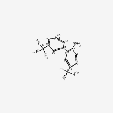 Nc1ccc(C(F)(F)F)cc1-c1cncc(C(F)(F)F)c1